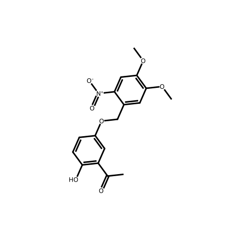 COc1cc(COc2ccc(O)c(C(C)=O)c2)c([N+](=O)[O-])cc1OC